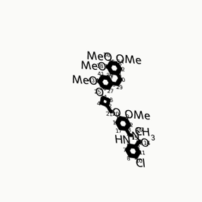 COc1cc(C2Nc3ccc(Cl)cc3C(=O)N2C)ccc1OCC1CC(Oc2cc(/C=C\c3cc(OC)c(OC)c(OC)c3)ccc2OC)C1